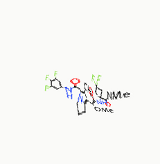 CNC(=O)C1(NC(=O)C(OC)c2c(C)c(C(=O)Nc3cc(F)c(F)c(F)c3)n3c2CCC3)CC(F)(F)C1